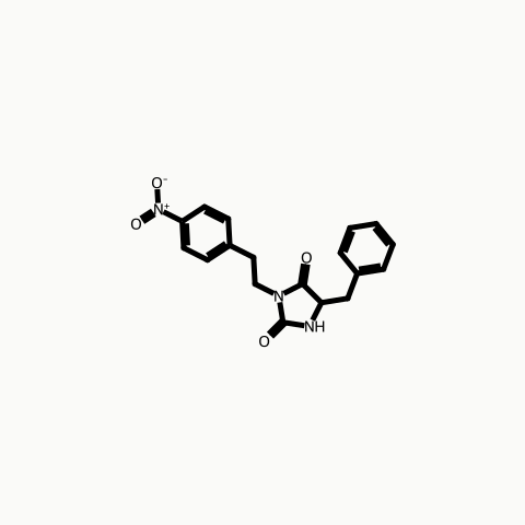 O=C1NC(Cc2ccccc2)C(=O)N1CCc1ccc([N+](=O)[O-])cc1